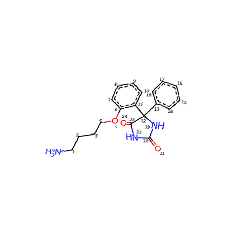 NCCCCOc1ccccc1C1(c2ccccc2)NC(=O)NC1=O